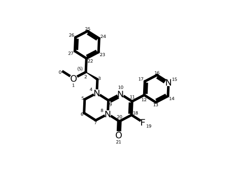 CO[C@H](CN1CCCn2c1nc(-c1ccncc1)c(F)c2=O)c1ccccc1